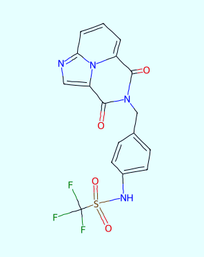 O=c1c2cccc3ncc(c(=O)n1Cc1ccc(NS(=O)(=O)C(F)(F)F)cc1)n32